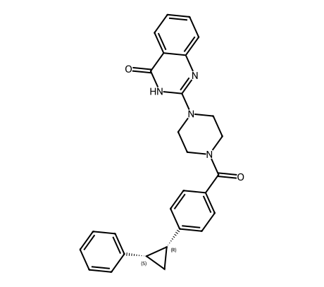 O=C(c1ccc([C@@H]2C[C@@H]2c2ccccc2)cc1)N1CCN(c2nc3ccccc3c(=O)[nH]2)CC1